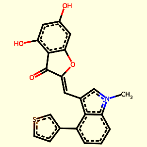 Cn1cc(C=C2Oc3cc(O)cc(O)c3C2=O)c2c(-c3ccsc3)cccc21